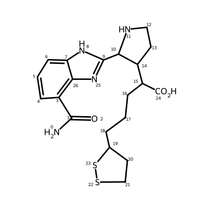 NC(=O)c1cccc2[nH]c(C3NCCC3C(CCCC3CCSS3)C(=O)O)nc12